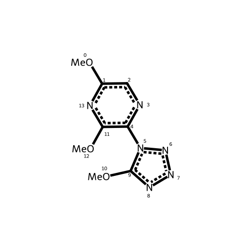 COc1cnc(-n2nnnc2OC)c(OC)n1